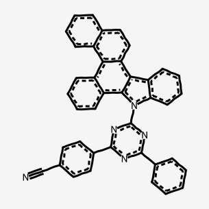 N#Cc1ccc(-c2nc(-c3ccccc3)nc(-n3c4ccccc4c4c5ccc6ccccc6c5c5ccccc5c43)n2)cc1